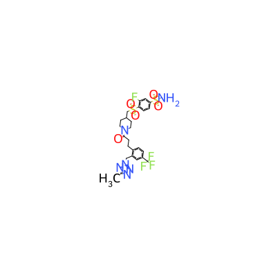 Cc1nnn(Cc2cc(C(F)(F)F)ccc2CCC(=O)N2CCC(CS(=O)(=O)c3ccc(S(N)(=O)=O)cc3F)CC2)n1